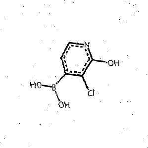 OB(O)c1ccnc(O)c1Cl